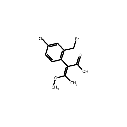 COC(C)=C(C(=O)O)c1ccc(Cl)cc1CBr